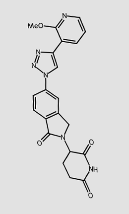 COc1ncccc1-c1cn(-c2ccc3c(c2)CN(C2CCC(=O)NC2=O)C3=O)nn1